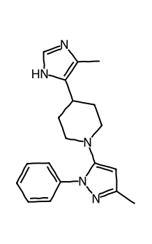 Cc1cc(N2CCC(c3[nH]cnc3C)CC2)n(-c2ccccc2)n1